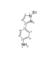 CCn1c[c]c(-c2ccc(N)cc2)n1